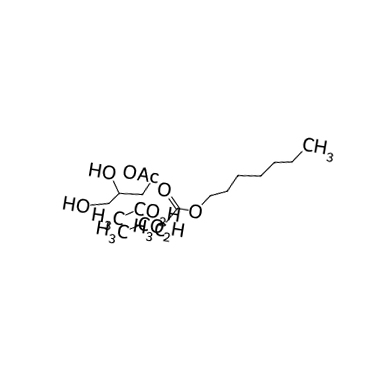 CC(=O)O.CC(=O)O.CC(=O)OCC(O)CO.CCCCCCCOC(C)=O